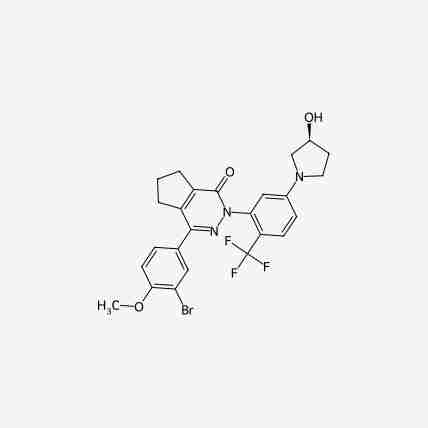 COc1ccc(-c2nn(-c3cc(N4CC[C@H](O)C4)ccc3C(F)(F)F)c(=O)c3c2CCC3)cc1Br